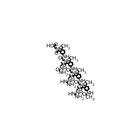 COc1ccc(NC(=O)[C@@H](CCCNC(N)=O)NC(=O)c2cc(NC(=O)[C@@H](CCCNC(=N)N)NC(=O)c3cc(NC(=O)[C@@H](CCCNC(=N)N)NC(=O)c4cc(NC(C)=O)ccc4OC)ccc3OC)ccc2OC)cc1C(=O)NCC(=O)O